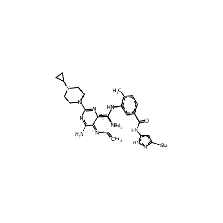 C=C/N=C1/C(N)=NC(N2CCN(C3CC3)CC2)=N/C1=C(/N)Nc1cc(C(=O)Nc2cc(C(C)(C)C)n[nH]2)ccc1C